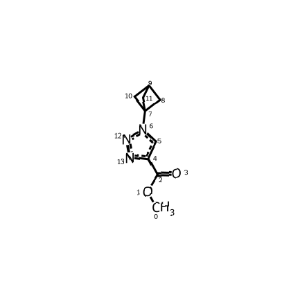 COC(=O)c1cn(C23CC(C2)C3)nn1